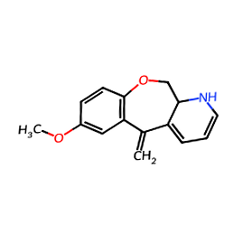 C=C1C2=CC=CNC2COc2ccc(OC)cc21